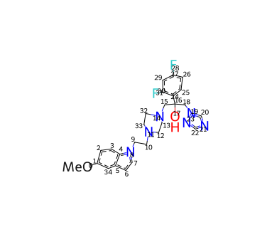 COc1ccc2c(ccn2CCN2CCN(CC(O)(Cn3cncn3)c3ccc(F)cc3F)CC2)c1